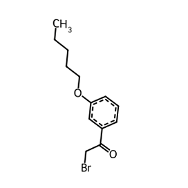 CCCCCOc1cccc(C(=O)CBr)c1